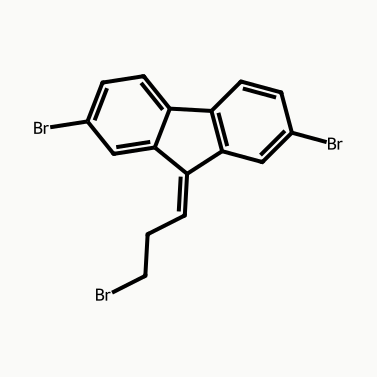 BrCCC=C1c2cc(Br)ccc2-c2ccc(Br)cc21